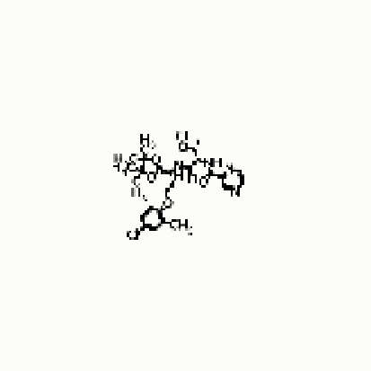 COC[C@@H](NC(=O)c1cnccn1)C(=O)N[C@H](CCOc1ccc(Cl)cc1C)B1OC(C)(C)C(C)(C)O1